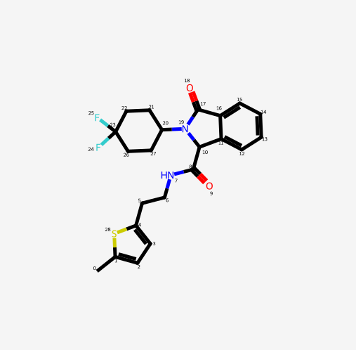 Cc1ccc(CCNC(=O)C2c3ccccc3C(=O)N2C2CCC(F)(F)CC2)s1